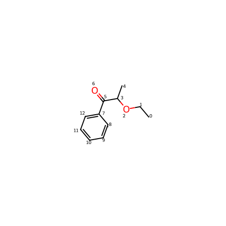 CCOC(C)C(=O)c1[c]cccc1